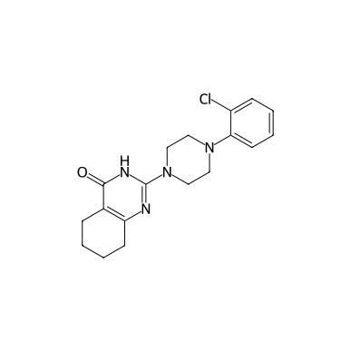 O=c1[nH]c(N2CCN(c3ccccc3Cl)CC2)nc2c1CCCC2